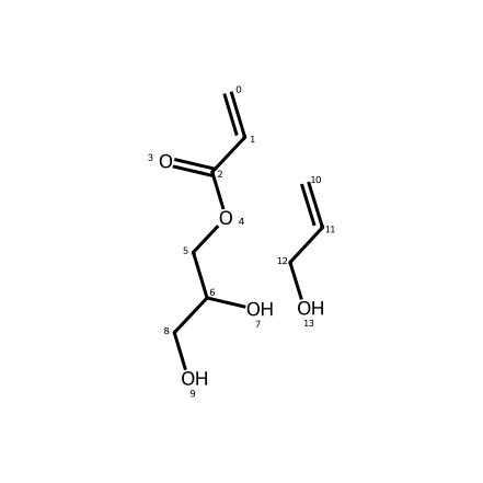 C=CC(=O)OCC(O)CO.C=CCO